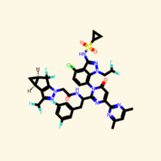 Cc1cc(C)nc(-c2cc(=O)n(-c3ccc(Cl)c4c(NS(=O)(=O)C5CC5)nn(CC(F)F)c34)c(C(Cc3cc(F)cc(F)c3)NC(=O)Cn3nc(C(F)F)c4c3C(F)(F)[C@@H]3C[C@H]43)n2)n1